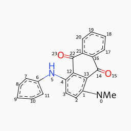 CNc1ccc(Nc2ccccc2)c2c1C(=O)c1ccccc1C2=O